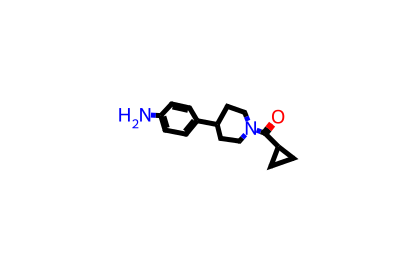 Nc1ccc(C2CCN(C(=O)C3CC3)CC2)cc1